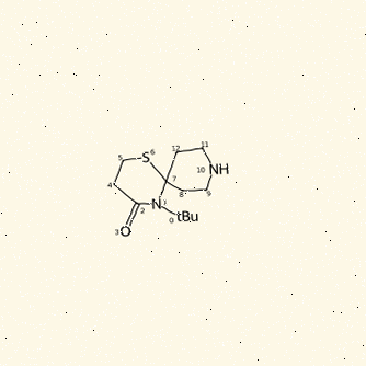 CC(C)(C)N1C(=O)CCSC12CCNCC2